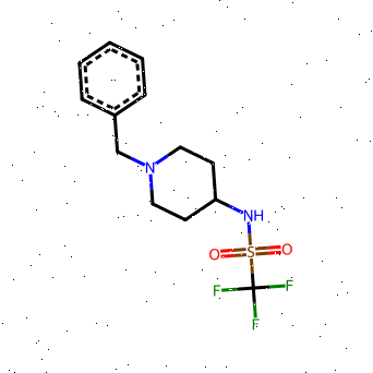 O=S(=O)(NC1CCN(Cc2ccccc2)CC1)C(F)(F)F